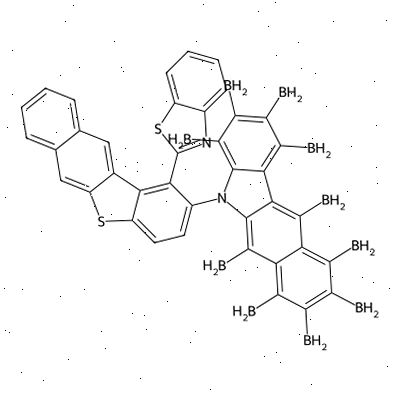 Bc1c(B)c(B)c2c(B)c3c(c(B)c2c1B)c1c(B)c(B)c(B)c(B)c1n3-c1ccc2sc3cc4ccccc4cc3c2c1-c1nc2ccccc2s1